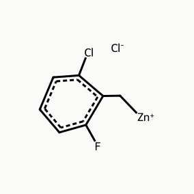 Fc1cccc(Cl)c1[CH2][Zn+].[Cl-]